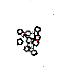 c1ccc(-n2c(-c3cc(-c4cccc5c6ccccc6n(-c6ccccc6)c45)nc(-c4cccc5c6ccccc6n(-c6ccccc6)c45)c3)cc3ccccc32)cc1